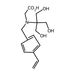 C=Cc1ccc(CN(CC(=O)O)C(CO)(CO)CO)cc1